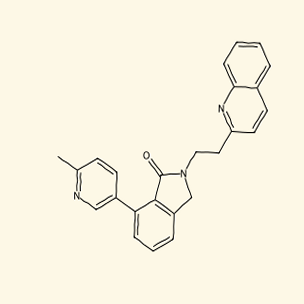 Cc1ccc(-c2cccc3c2C(=O)N(CCc2ccc4ccccc4n2)C3)cn1